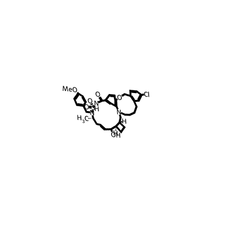 COc1ccc(CN2[C@@H](C)C/C=C/C(O)[C@@H]3CC[C@H]3CN3CCCCc4cc(Cl)ccc4COc4ccc(cc43)C(=O)NS2(=O)=O)cc1